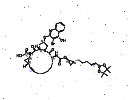 CC1(C)OB(/C=C/CCC[C@@H]2C[C@H]2OC(=O)N[C@H]2CCCCC/C=C\[C@@H]3C[C@@]3(C(=O)O)NC(=O)[C@@H]3C[C@@H](Oc4nc5ccccc5c(O)c4Br)CN3C2=O)OC1(C)C